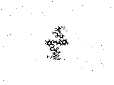 CN[C@H](C)C(=O)N[C@@H](C(=O)N1CCC[C@H]1Cn1c(/C=C/c2nc3cc(F)ccc3n2C[C@@H]2CCCN2C(=O)[C@H](NC(=O)[C@@H](C)NC)C(C)C)nc2cc(F)ccc21)C(C)C